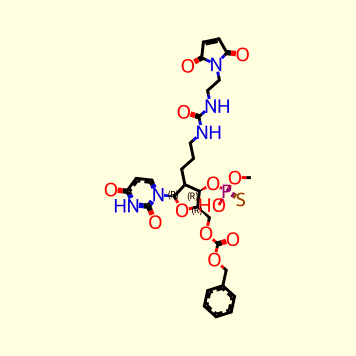 COP(O)(=S)O[C@@H]1C(CCCNC(=O)NCCN2C(=O)C=CC2=O)[C@H](n2ccc(=O)[nH]c2=O)O[C@@H]1COC(=O)OCc1ccccc1